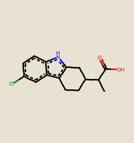 CC(C(=O)O)C1CCc2c([nH]c3ccc(Cl)cc23)C1